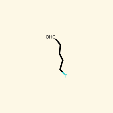 O=CCCCCF